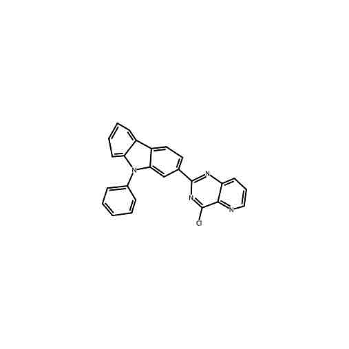 Clc1nc(-c2ccc3c4ccccc4n(-c4ccccc4)c3c2)nc2cccnc12